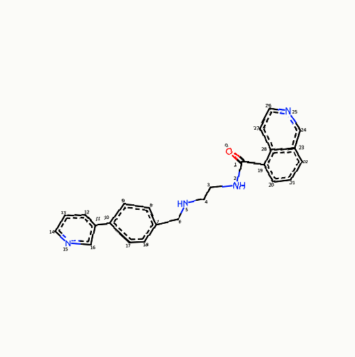 O=C(NCCNCc1ccc(-c2cccnc2)cc1)c1cccc2cnccc12